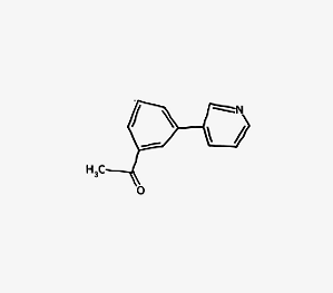 CC(=O)c1c[c]cc(-c2cccnc2)c1